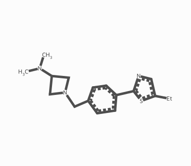 CCc1cnc(-c2ccc(CN3CC(N(C)C)C3)cc2)s1